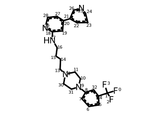 FC(F)(F)c1cccc(N2CCN(CCCCNc3cc(-c4cccnc4)ccn3)CC2)c1